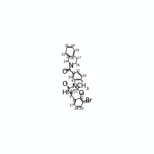 CC12CC(NC(=O)N1c1cccc(C(=O)N3CCc4ccccc4C3)c1)c1cccc(Br)c1O2